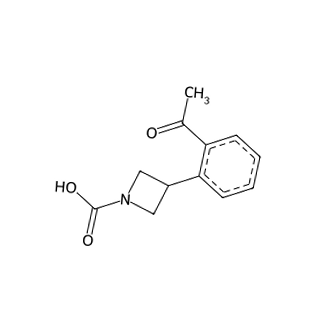 CC(=O)c1ccccc1C1CN(C(=O)O)C1